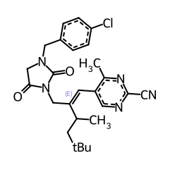 Cc1nc(C#N)ncc1/C=C(/CN1C(=O)CN(Cc2ccc(Cl)cc2)C1=O)C(C)CC(C)(C)C